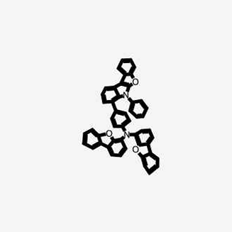 c1ccc(-n2c3oc4ccccc4c3c3cccc(-c4ccc(N(c5cccc6c5oc5ccccc56)c5cccc6c5oc5ccccc56)cc4)c32)cc1